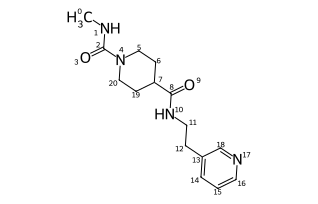 CNC(=O)N1CCC(C(=O)NCCc2cccnc2)CC1